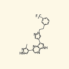 Cc1n[nH]cc1-c1cnc2[nH]cc(-c3cnn(CCc4cccc(C(F)(F)F)c4)c3)c2n1